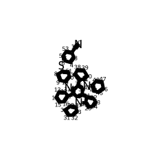 N#Cc1ccc(Sc2ccc(-n3c4ccccc4c4c5c(c6ccccc6n5-c5ccccc5)c5c(c6ccccc6n5-c5ccccc5)c43)cc2)cc1